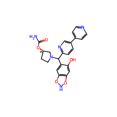 NC(=O)O[C@@H]1CCN(C(c2ccc(-c3ccncc3)cn2)c2cc3c(cc2O)ONO3)C1